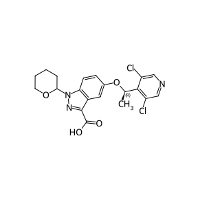 C[C@@H](Oc1ccc2c(c1)c(C(=O)O)nn2C1CCCCO1)c1c(Cl)cncc1Cl